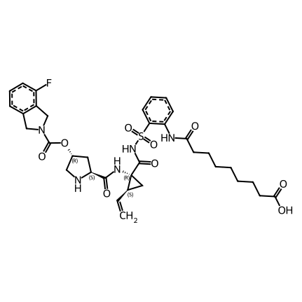 C=C[C@@H]1C[C@]1(NC(=O)[C@@H]1C[C@@H](OC(=O)N2Cc3cccc(F)c3C2)CN1)C(=O)NS(=O)(=O)c1ccccc1NC(=O)CCCCCCCC(=O)O